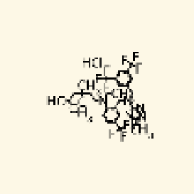 CCN(CCC(C)(C)CC(=O)O)c1ccc(C(F)(F)F)cc1CN(Cc1cc(C(F)(F)F)cc(C(F)(F)F)c1)c1nnn(C)n1.Cl